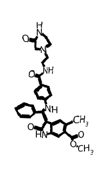 COC(=O)c1cc2c(cc1C)/C(=C(\Nc1ccc(C(=O)NCCN3CCNC(=O)C3)cc1)c1ccccc1)C(=O)N2